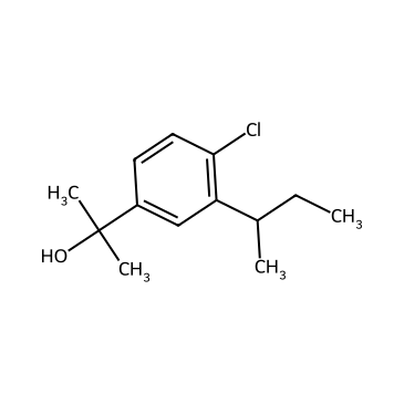 CCC(C)c1cc(C(C)(C)O)ccc1Cl